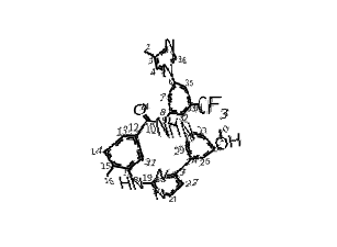 CO.Cc1cn(-c2cc(NC(=O)c3ccc(C)c(Nc4nccc(-c5cccnc5)n4)c3)cc(C(F)(F)F)c2)cn1